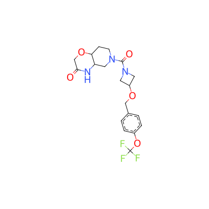 O=C1COC2CCN(C(=O)N3CC(OCc4ccc(OC(F)(F)F)cc4)C3)CC2N1